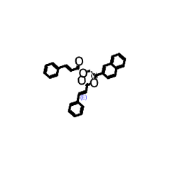 O=C(C=Cc1ccccc1)OC[C@@H](OC(=O)/C=C/c1ccccc1)c1ccc2ccccc2c1